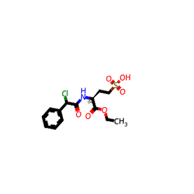 CCOC(=O)[C@H](CCS(=O)(=O)O)NC(=O)C(Cl)c1ccccc1